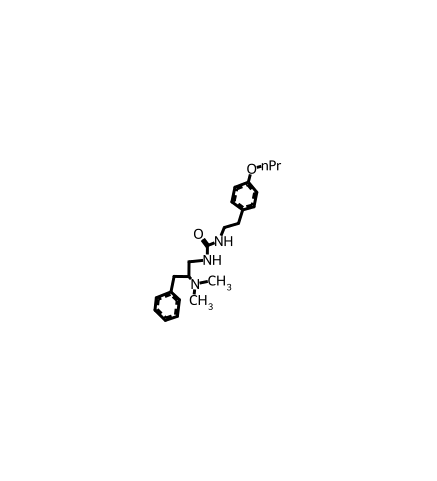 CCCOc1ccc(CCNC(=O)NCC(Cc2ccccc2)N(C)C)cc1